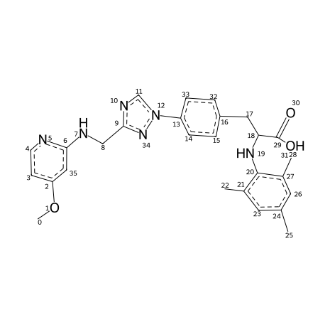 COc1ccnc(NCc2ncn(-c3ccc(CC(Nc4c(C)cc(C)cc4C)C(=O)O)cc3)n2)c1